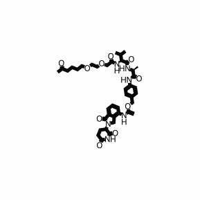 C=C(Nc1cccc2c1CN(C1CCC(=O)NC1=O)C2=O)OCc1ccc(NC(=O)[C@H](C)NC(=O)[C@@H](NC(=O)COCCOCCCCC(C)=O)C(C)C)cc1